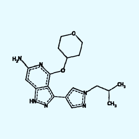 CC(C)Cn1cc(-c2n[nH]c3cc(N)nc(OC4CCOCC4)c23)cn1